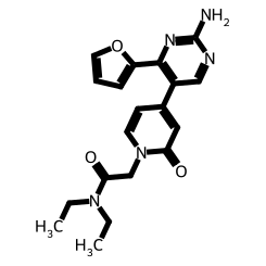 CCN(CC)C(=O)Cn1ccc(-c2cnc(N)nc2-c2ccco2)cc1=O